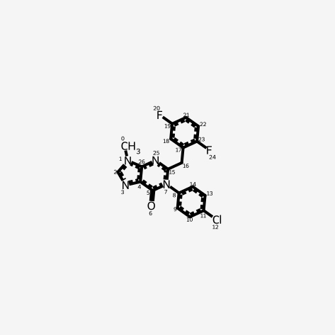 Cn1cnc2c(=O)n(-c3ccc(Cl)cc3)c(Cc3cc(F)ccc3F)nc21